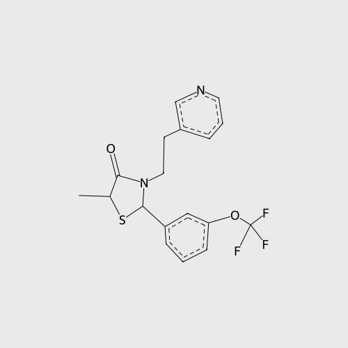 CC1SC(c2cccc(OC(F)(F)F)c2)N(CCc2cccnc2)C1=O